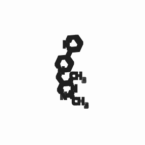 Cc1ncc(CN2CC=C(c3ccccn3)CC2)c(C)n1